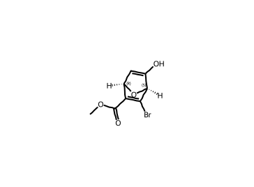 COC(=O)C1=C(Br)[C@H]2O[C@@H]1C=C2O